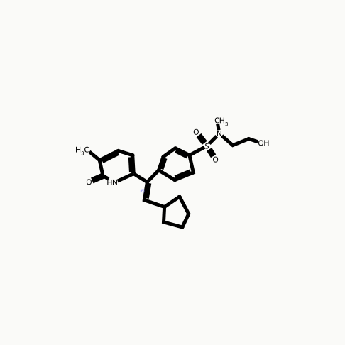 Cc1ccc(/C(=C/C2CCCC2)c2ccc(S(=O)(=O)N(C)CCO)cc2)[nH]c1=O